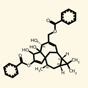 C[C@@H]1C[C@@H]2[C@H](C3C=C(COC(=O)c4ccccc4)[C@@H](O)C4(O)C(O)C(OC(=O)c5ccccc5)=CC14C3)C2(C)C